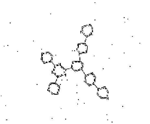 c1ccc(-c2nc(-c3ccccc3)nc(-c3cc(-c4ccc(-c5ccncc5)cc4)cc(-c4ccc(-c5ncccn5)cc4)c3)n2)cc1